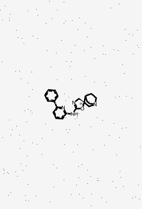 c1ccc(-c2cccc(NC3=NC[C@@]4(CN5CCC4CC5)O3)n2)cc1